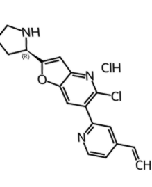 C=Cc1ccnc(-c2cc3oc([C@H]4CCCN4)cc3nc2Cl)c1.Cl